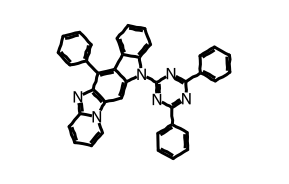 c1ccc(-c2nc(-c3ccccc3)nc(-n3c4ccccc4c4c(-c5ccccc5)c5nc6ccccn6c5cc43)n2)cc1